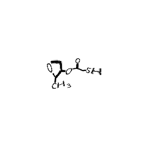 CC1=C(OC(=O)CS)CCO1